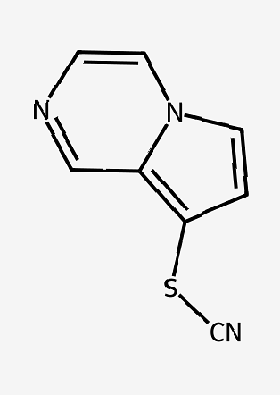 N#CSc1ccn2ccncc12